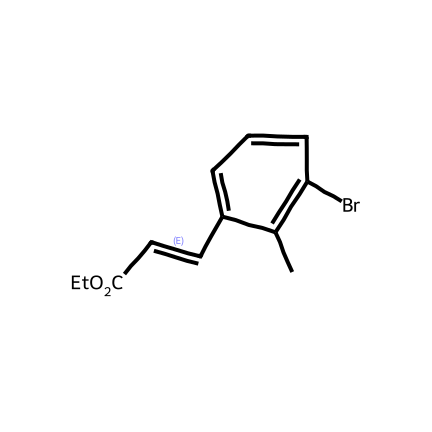 CCOC(=O)/C=C/c1cccc(Br)c1C